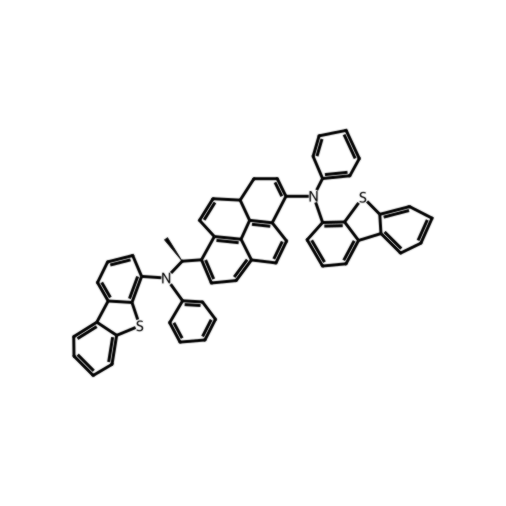 C[C@@H](c1ccc2ccc3c4c2c1C=CC4CC=C3N(c1ccccc1)c1cccc2c1sc1ccccc12)N(c1ccccc1)c1cccc2c1sc1ccccc12